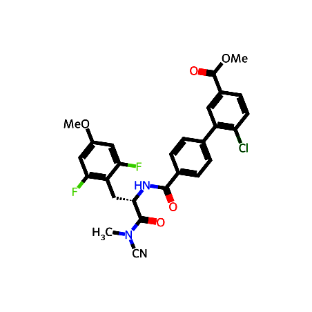 COC(=O)c1ccc(Cl)c(-c2ccc(C(=O)N[C@@H](Cc3c(F)cc(OC)cc3F)C(=O)N(C)C#N)cc2)c1